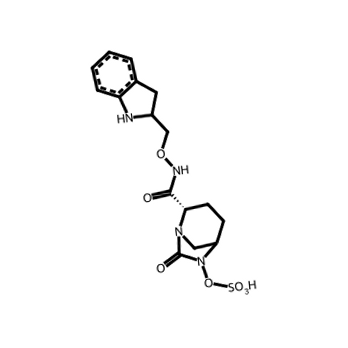 O=C(NOCC1Cc2ccccc2N1)[C@@H]1CCC2CN1C(=O)N2OS(=O)(=O)O